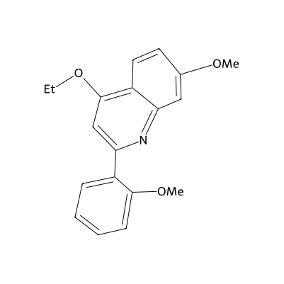 CCOc1cc(-c2ccccc2OC)nc2cc(OC)ccc12